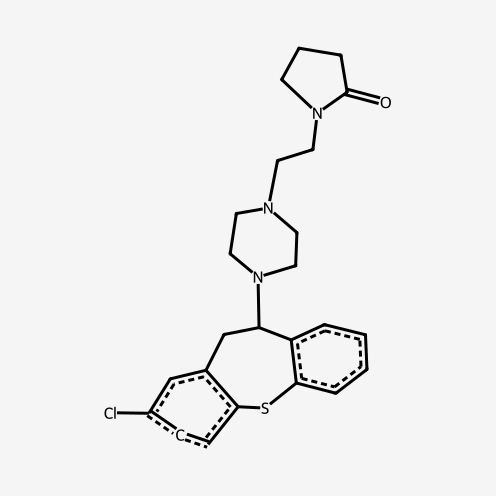 O=C1CCCN1CCN1CCN(C2Cc3cc(Cl)ccc3Sc3ccccc32)CC1